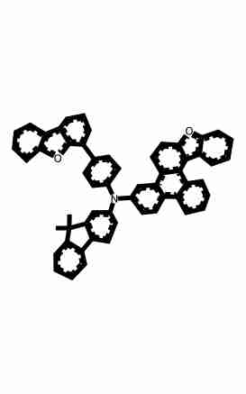 CC1(C)c2ccccc2-c2ccc(N(c3ccc(-c4cccc5c4oc4ccccc45)cc3)c3ccc4c5ccccc5c5c(ccc6oc7ccccc7c65)c4c3)cc21